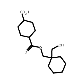 O=C(O)C1CCC(C(=O)OCC2(CO)CCCCC2)CC1